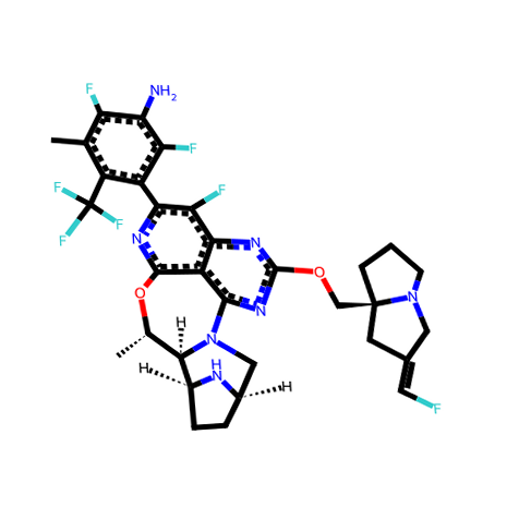 Cc1c(F)c(N)c(F)c(-c2nc3c4c(nc(OC[C@@]56CCCN5C/C(=C\F)C6)nc4c2F)N2C[C@H]4CC[C@H](N4)[C@H]2[C@H](C)O3)c1C(F)(F)F